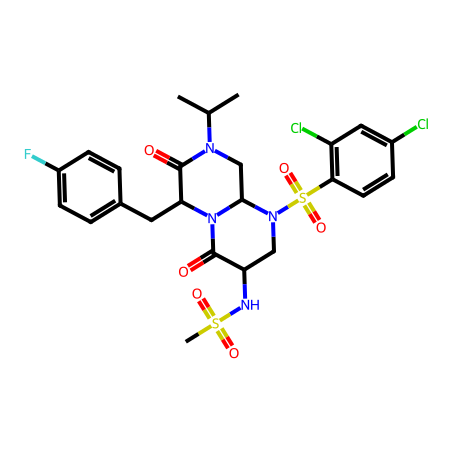 CC(C)N1CC2N(C(=O)C(NS(C)(=O)=O)CN2S(=O)(=O)c2ccc(Cl)cc2Cl)C(Cc2ccc(F)cc2)C1=O